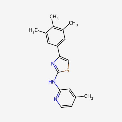 Cc1ccnc(Nc2nc(-c3cc(C)c(C)c(C)c3)cs2)c1